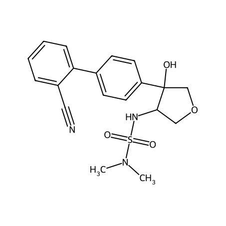 CN(C)S(=O)(=O)NC1COCC1(O)c1ccc(-c2ccccc2C#N)cc1